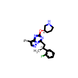 CC(C)c1cnn2c(C[C@H](C)c3ccccc3F)nc(O[C@@H]3CCCNC3)nc12